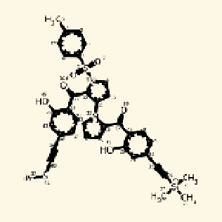 Cc1ccc(S(=O)(=O)n2ccc(-n3cccc3C(=O)c3ccc(C#C[Si](C)(C)C)cc3O)c2C(=O)c2ccc(C#CSC(C)C)cc2O)cc1